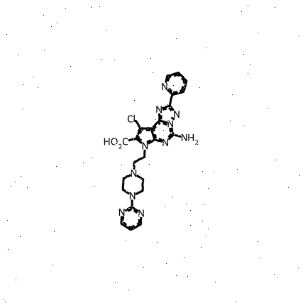 Nc1nc2c(c(Cl)c(C(=O)O)n2CCN2CCN(c3ncccn3)CC2)c2nc(-c3ccccn3)nn12